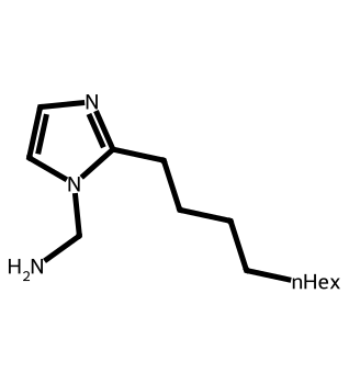 CCCCCCCCCCc1nccn1CN